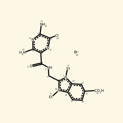 CCn1c(CNC(=O)c2nc(Cl)c(N)nc2N)[n+](CC)c2ccc(C(=O)O)cc21.[Br-]